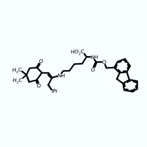 CC(C)CC(=CC1C(=O)CC(C)(C)CC1=O)NCCCCC(NC(=O)OCc1cccc2c1Cc1ccccc1-2)C(=O)O